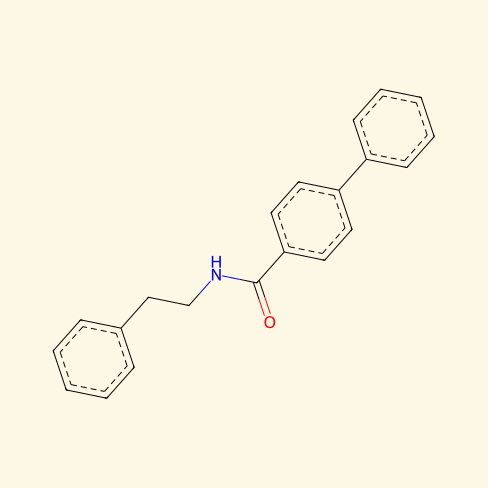 O=C(NCCc1ccccc1)c1ccc(-c2ccccc2)cc1